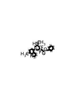 CN[C@@H]1C[C@H](C(F)(F)C(=O)OCc2ccccc2)CN(c2ccc(C)c3ncccc23)C1